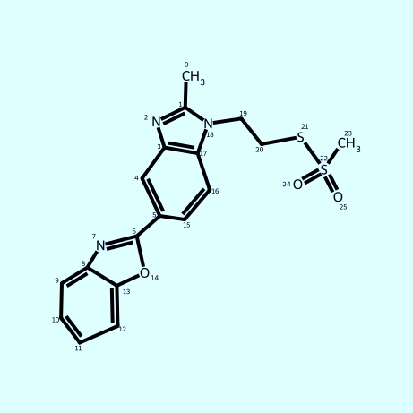 Cc1nc2cc(-c3nc4ccccc4o3)ccc2n1CCSS(C)(=O)=O